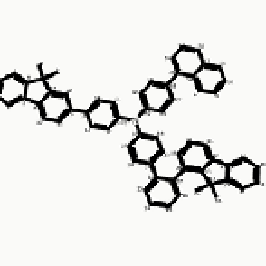 CC1(C)c2ccccc2-c2ccc(-c3ccc(N(c4ccc(-c5ccccc5-c5cccc6c5C(C)(C)c5ccccc5-6)cc4)c4ccc(-c5cccc6ccccc56)cc4)cc3)cc21